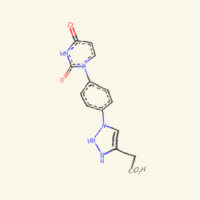 O=C(O)CC1=CN(c2ccc(-n3ccc(=O)[nH]c3=O)cc2)NN1